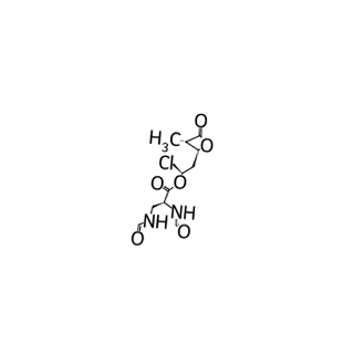 C[C@@H]1C(=O)O[C@H]1C[C@H](Cl)OC(=O)[C@H](CNC=O)NC=O